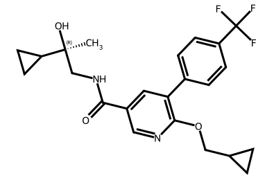 C[C@](O)(CNC(=O)c1cnc(OCC2CC2)c(-c2ccc(C(F)(F)F)cc2)c1)C1CC1